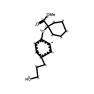 COC(=O)C1(Oc2ccc(CCCO)cc2)CCCCC1